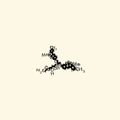 C=CC(=O)OCC(O)CC(O)COC(COc1ccc2cc(-c3ccc(C)cc3OC)c(=O)oc2c1)COc1ccc2cc(-c3ccc(C)cc3OC)c(=O)oc2c1